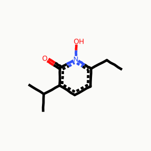 CCc1ccc(C(C)C)c(=O)n1O